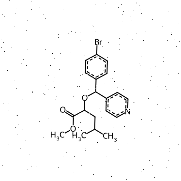 COC(=O)C(CC(C)C)OC(c1ccncc1)c1ccc(Br)cc1